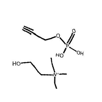 C#CCOP(=O)(O)O.C[N+](C)(C)CCO